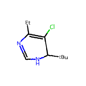 CCC1=C(Cl)C(C(C)(C)C)NC=N1